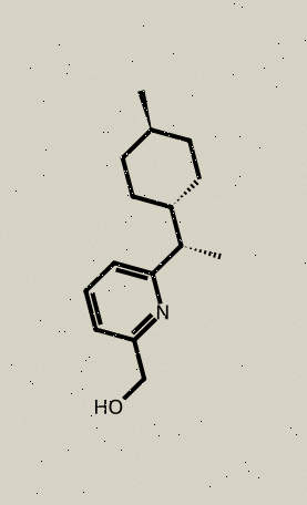 C[C@H](c1cccc(CO)n1)[C@H]1CC[C@H](C)CC1